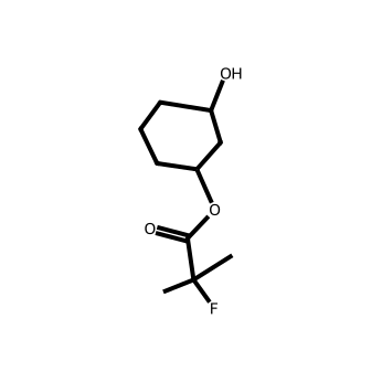 CC(C)(F)C(=O)OC1CCCC(O)C1